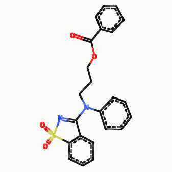 O=C(OCCCN(C1=NS(=O)(=O)c2ccccc21)c1ccccc1)c1ccccc1